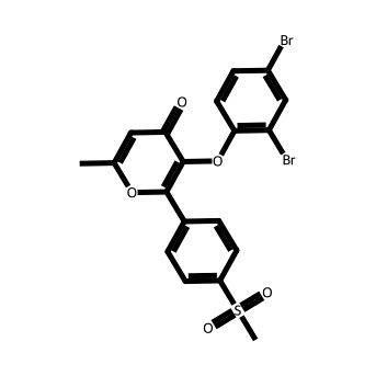 Cc1cc(=O)c(Oc2ccc(Br)cc2Br)c(-c2ccc(S(C)(=O)=O)cc2)o1